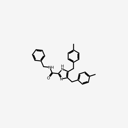 Cc1ccc(Cc2nc(C(=O)NCc3ccccc3)[nH]c2Cc2ccc(C)cc2)cc1